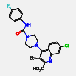 CCc1c(C(=O)O)nc2cc(Cl)ccc2c1N1CCN(C(=O)Nc2ccc(F)cc2)CC1